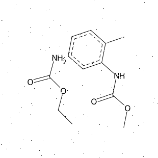 CCOC(N)=O.COC(=O)Nc1ccccc1C